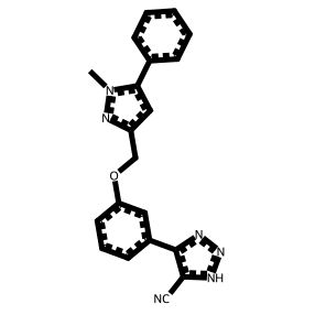 Cn1nc(COc2cccc(-c3nn[nH]c3C#N)c2)cc1-c1ccccc1